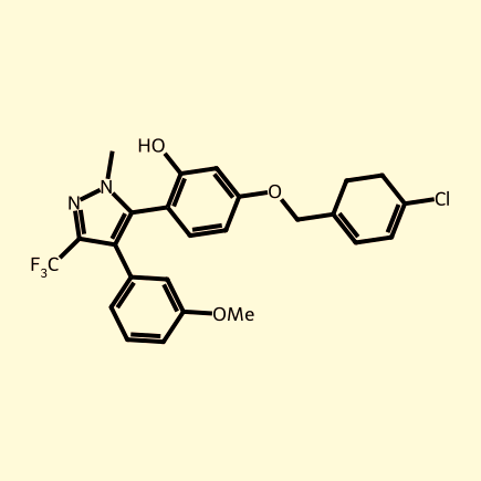 COc1cccc(-c2c(C(F)(F)F)nn(C)c2-c2ccc(OCC3=CC=C(Cl)CC3)cc2O)c1